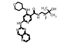 CC(C)(O)[C@H](F)CNC(=O)c1cnc(Nc2ncc3ncccc3n2)cc1NC1CCOCC1